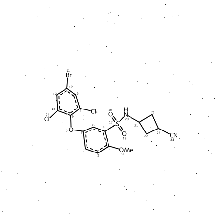 COc1ccc(Oc2c(Cl)cc(Br)cc2Cl)cc1S(=O)(=O)NC1CC(C#N)C1